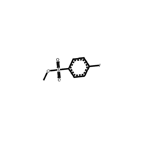 COS(=O)(=O)c1ccc(I)cc1